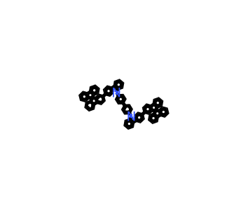 C1=CCC2C(=C1)C1=CCC(c3ccc4c5ccccc5n(-c5ccc(C6=CC=C(n7c8ccccc8c8ccc(-c9ccc%10c(c9)C9(c%11ccccc%11-c%11ccccc%119)c9ccccc9-%10)cc87)CC6)cc5)c4c3)C=C1C21c2ccccc2-c2ccccc21